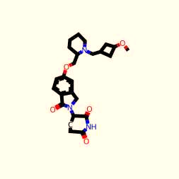 COC1CC(CN2CCCCC2COc2ccc3c(c2)CN(C2CCC(=O)NC2=O)C3=O)C1